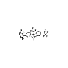 O=C(c1ccc(C(c2ccc(C3(C(F)(F)F)N=N3)cc2)(C(F)(F)F)C(F)(F)F)cc1)C(F)(F)F